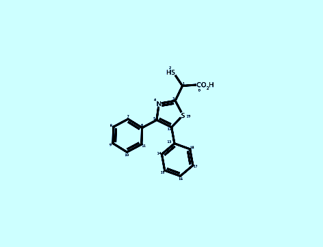 O=C(O)C(S)c1nc(-c2ccccc2)c(-c2ccccc2)s1